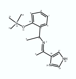 C/C(=N\C(C)c1ccccc1O[Si](C)(C)C)c1c[nH]cn1